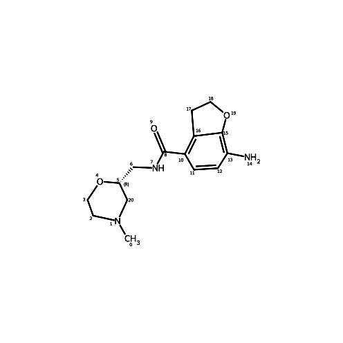 CN1CCO[C@H](CNC(=O)c2ccc(N)c3c2CCO3)C1